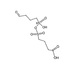 O=CCCC[SH](=O)(O)OS(=O)(=O)CCCC(=O)O